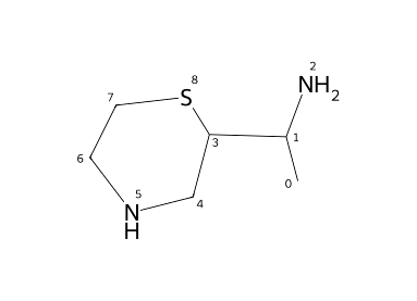 CC(N)C1CNCCS1